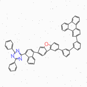 c1ccc(-c2nc(-c3ccccc3)nc(-c3ccc(-c4ccc5c(c4)oc4ccc(-c6cccc(-c7cccc(-c8ccc9c%10ccccc%10c%10ccccc%10c9c8)c7)c6)cc45)c4ccccc34)n2)cc1